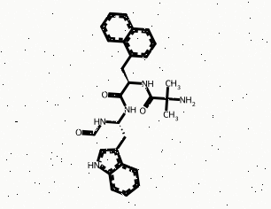 CC(C)(N)C(=O)N[C@H](Cc1cccc2ccccc12)C(=O)N[C@H](Cc1c[nH]c2ccccc12)NC=O